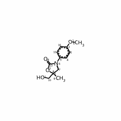 COc1ccc(N2C[C@](C)(CO)OC2=O)cc1